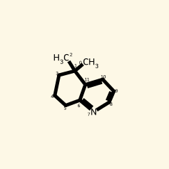 CC1(C)CCCc2ncccc21